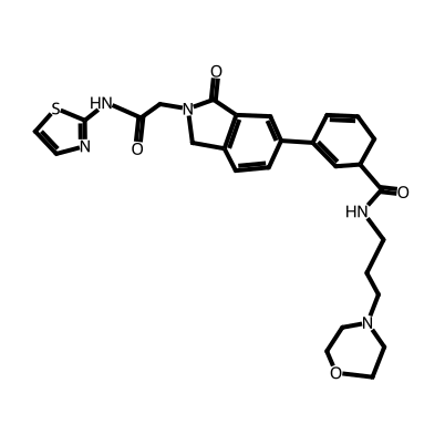 O=C(CN1Cc2ccc(C3=CC(C(=O)NCCCN4CCOCC4)CC=C3)cc2C1=O)Nc1nccs1